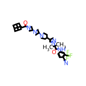 CC(C)(C(=O)Nc1ccc(C#N)c(C(F)(F)F)c1)n1cc(C2CCN(C3CN(C4CN(C(=O)CC56CC7CC8CC(C5)C876)C4)C3)CC2)cn1